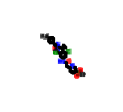 CCS(=O)(=O)c1ccc(CC(=O)Nc2cc(Cl)c(C3(c4noc(-c5ccc(C)cc5)n4)CC3)c(Cl)c2)nc1